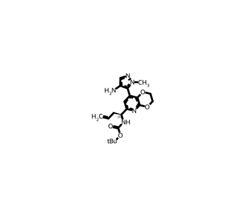 C=CC[C@H](NC(=O)OC(C)(C)C)c1cc(-c2c(N)cnn2C)c2c(n1)OCCO2